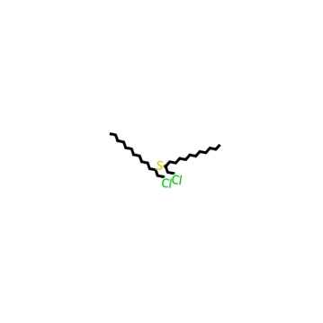 CCCCCCCCCCCC(CCCl)SC(CCCl)CCCCCCCCCCC